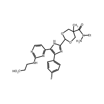 CCN(N)C(=O)C1(C)COC(c2nc(-c3ccc(F)cc3)c(-c3ccnc(NCCC(=O)O)n3)[nH]2)OC1